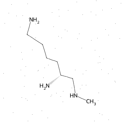 CNC[C@H](N)CCCCN